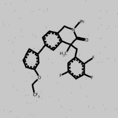 CC(C)N1Cc2ccc(-c3cccc(OCC(F)(F)F)c3)cc2C(C)(Cc2cc(F)cc(F)c2F)C1=O